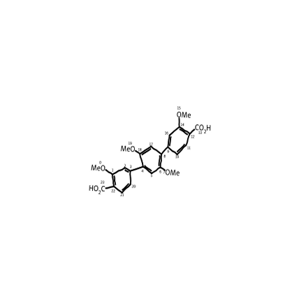 COc1cc(-c2cc(OC)c(-c3ccc(C(=O)O)c(OC)c3)cc2OC)ccc1C(=O)O